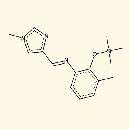 Cc1cccc(/N=C/c2cn(C)cn2)c1O[Si](C)(C)C